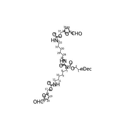 CCCCCCCCCCCCOC(=O)N(CCCCCCNC(=O)OCc1ccc(C=O)o1)C(=O)NCCCCCCNC(=O)OCc1ccc(C=O)o1